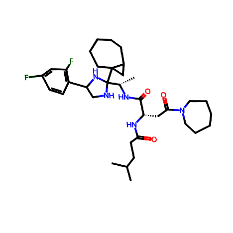 CC(C)CCC(=O)N[C@@H](CC(=O)N1CCCCCC1)C(=O)N[C@@H](C)C1(C23CCCCCC2C3)NCC(c2ccc(F)cc2F)N1